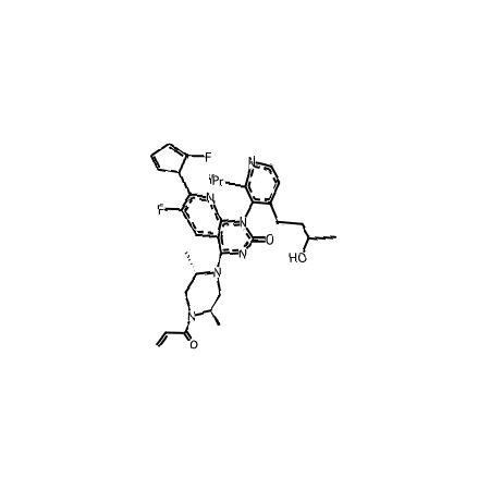 C=CC(=O)N1C[C@H](C)N(c2nc(=O)n(-c3c(CCC(C)O)ccnc3C(C)C)c3nc(C4C=CC=C4F)c(F)cc23)C[C@H]1C